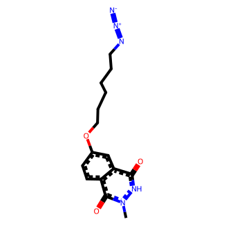 Cn1[nH]c(=O)c2cc(OCCCCCCN=[N+]=[N-])ccc2c1=O